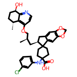 C[C@@H](COc1ccnc2c1[C@H](C)CC[C@H]2O)C[C@H]1Cc2cc3c(cc2C12CCC(Nc1cccc(Cl)c1)(C(=O)O)CC2)OCO3